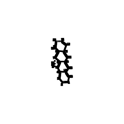 [B].c1ccc2cc3cc4ncccc4cc3cc2c1